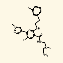 C[C@@H](CN)CNC(=O)c1cc(F)c(-c2cnn(C)c2)nc1NCCc1cccc(F)c1